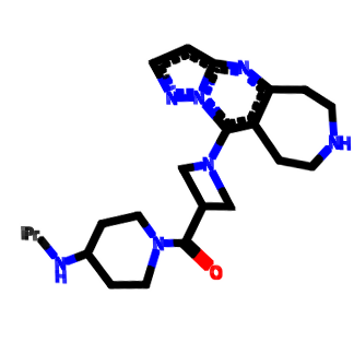 CC(C)NC1CCN(C(=O)C2CN(c3c4c(nc5ccnn35)CCNCC4)C2)CC1